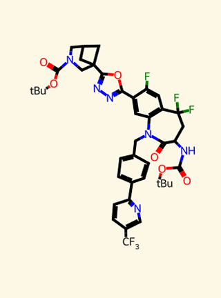 CC(C)(C)OC(=O)NC1CC(F)(F)c2cc(F)c(-c3nnc(C45CC(CN(C(=O)OC(C)(C)C)C4)C5)o3)cc2N(Cc2ccc(-c3ccc(C(F)(F)F)cn3)cc2)C1=O